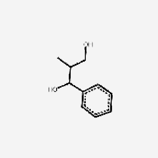 CC(CO)C(O)c1ccccc1